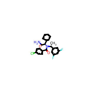 C[C@H](c1cc(F)cc(F)c1)N(C(=O)c1ccc(Cl)cc1)[C@@H](C(N)=O)c1ccccc1